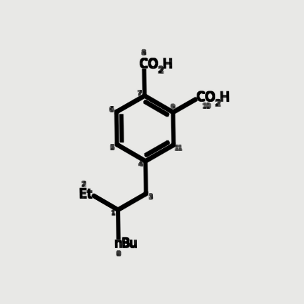 CCCCC(CC)Cc1ccc(C(=O)O)c(C(=O)O)c1